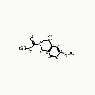 CC(C)(C)OC(=O)N1CCc2cc(C(=O)[O-])ccc2C1.[K+]